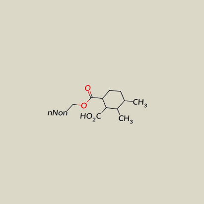 CCCCCCCCCCOC(=O)C1CCC(C)C(C)C1C(=O)O